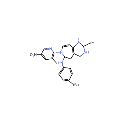 Cc1cc([N+](=O)[O-])cnc1N1C=CC2=C(CNC(C(C)C)N2)CC1Nc1ccc(C(C)(C)C)cc1